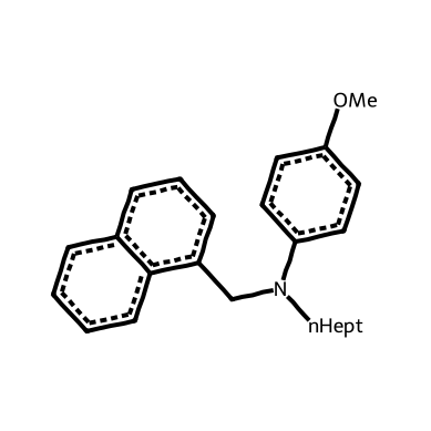 CCCCCCCN(Cc1cccc2ccccc12)c1ccc(OC)cc1